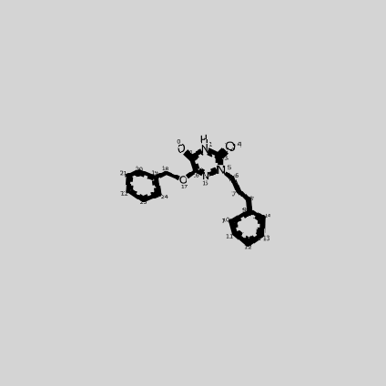 O=c1[nH]c(=O)n(CCCc2ccccc2)nc1OCc1ccccc1